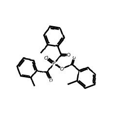 Cc1ccccc1C(=O)OP(=O)(C(=O)c1ccccc1C)C(=O)c1ccccc1C